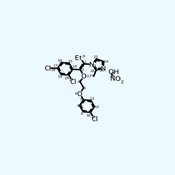 CCC(=C(OCCOc1ccc(Cl)cc1)c1ccc(Cl)cc1Cl)n1ccnc1C.O=[N+]([O-])O